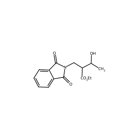 CCOC(=O)C(CN1C(=O)c2ccccc2C1=O)C(C)O